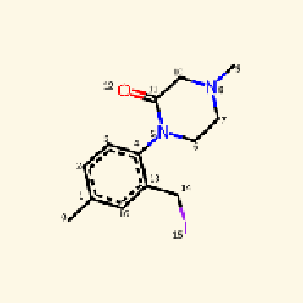 Cc1ccc(N2CCN(C)CC2=O)c(CI)c1